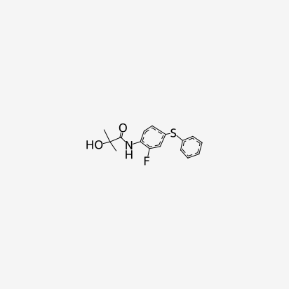 CC(C)(O)C(=O)Nc1ccc(Sc2ccccc2)cc1F